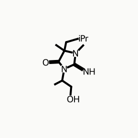 CC(C)CC1(C)C(=O)N(C(C)CO)C(=N)N1C